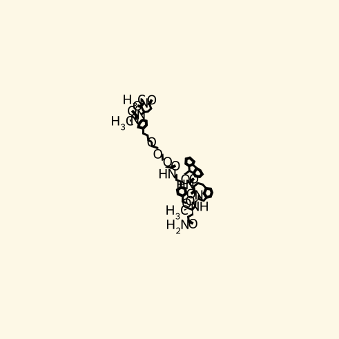 C[C@@H](OCc1ccc(CCCNC(=O)COCCOCCOCCCc2ccc3c(c2)n(C)c(=O)n3C2CCC(=O)N(C)C2=O)cc1)[C@H](CCC(N)=O)NC(=O)[C@@H]1Cc2cccc3c2N1C(=O)[C@@H](NC(=O)OCC1c2ccccc2-c2ccccc21)CC3